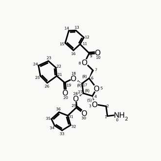 NCCO[C@H]1O[C@H](COC(=O)c2ccccc2)[C@@H](OC(=O)c2ccccc2)[C@H]1OC(=O)c1ccccc1